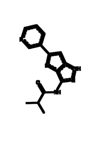 CC(C)C(=O)Nc1n[nH]c2cc(-c3cccnc3)sc12